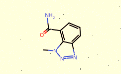 Cn1nnc2cccc(C(N)=O)c21